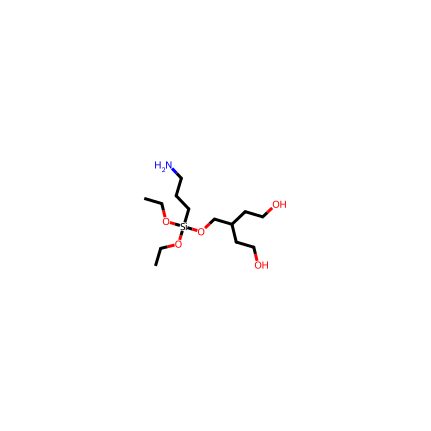 CCO[Si](CCCN)(OCC)OCC(CCO)CCO